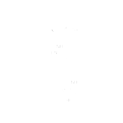 C[C@@H](O[Si](C)(C)C(C)(C)C)C(=O)NNC(=O)CC1CC(NC(=O)OC(C)(C)C)C1